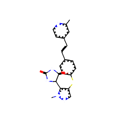 Cc1cc(/C=C/c2ccc(Sc3cnn(C)c3C3NC(=O)NC3=O)cc2)ccn1